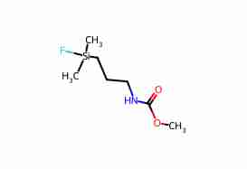 COC(=O)NCCC[Si](C)(C)F